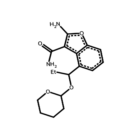 CCC(OC1CCCCO1)c1cccc2oc(N)c(C(N)=O)c12